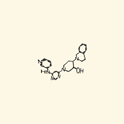 OC1CN(c2cc(Nc3cccnc3)ncn2)CCC1N1CCc2ccccc2C1